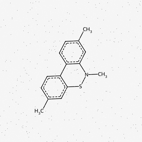 Cc1ccc2c(c1)SN(C)c1cc(C)ccc1-2